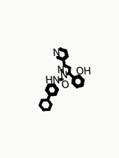 O=C(Nc1ccc(C2CCCCC2)cc1)N1N=C(c2cccnc2)CC1c1ccccc1O